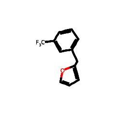 FC(F)(F)c1cccc(Cc2ccco2)c1